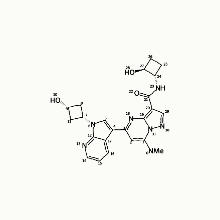 CNc1cc(-c2cn([C@H]3C[C@@H](O)C3)c3ncccc23)nc2c(C(=O)N[C@H]3CC[C@@H]3O)cnn12